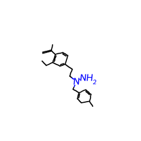 C=C(C)c1ccc(CCN(N)CC2=CCC(C)C=C2)cc1CC